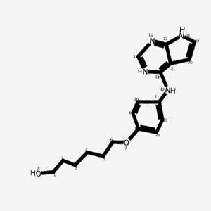 OCCCCCCOc1ccc(Nc2ncnc3[nH]ccc23)cc1